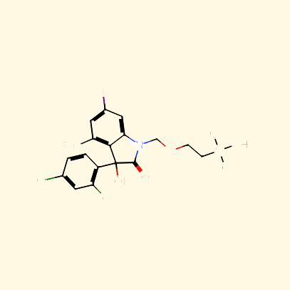 C[Si](C)(C)CCOCN1C(=O)C(O)(c2ccc(Cl)cc2Cl)c2c1cc(I)cc2C(F)(F)F